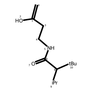 C=C(O)CCNC(=O)C(C(C)C)C(C)(C)C